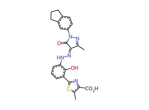 CC1=NN(c2ccc3c(c2)CCC3)C(=O)C1=NNc1cccc(-c2nc(C(=O)O)c(C)s2)c1O